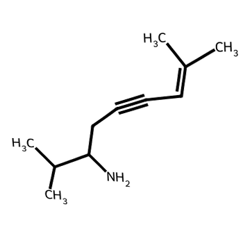 CC(C)=CC#CCC(N)C(C)C